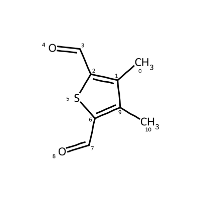 Cc1c(C=O)sc(C=O)c1C